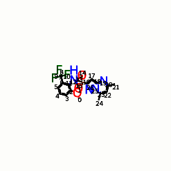 COc1cccc(C(F)(F)F)c1NS(=O)(=O)c1cc2nc(C)cc(C)n2n1